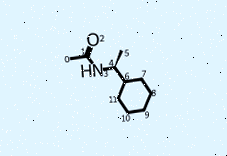 CC(=O)N[C@@H](C)C1CCCCC1